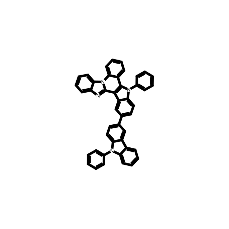 c1ccc(-n2c3ccccc3c3cc(-c4ccc5c(c4)c4c(c6ccccc6n6c7ccccc7nc46)n5-c4ccccc4)ccc32)cc1